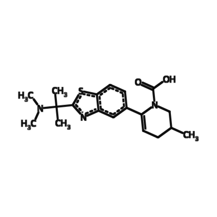 CC1CC=C(c2ccc3sc(C(C)(C)N(C)C)nc3c2)N(C(=O)O)C1